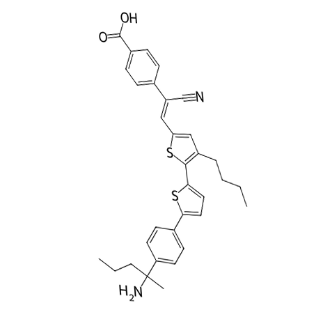 CCCCc1cc(/C=C(\C#N)c2ccc(C(=O)O)cc2)sc1-c1ccc(-c2ccc(C(C)(N)CCC)cc2)s1